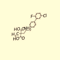 CC(CC(N)Cc1ccc(-c2cc(Cl)ccc2F)cc1)(C(=O)O)C(=O)O